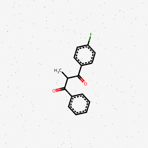 CC(C(=O)c1ccccc1)C(=O)c1ccc(F)cc1